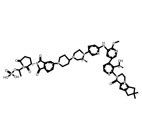 COc1ncc(-c2ccnc(N3CCn4c(cc5c4CC(C)(C)C5)C3=O)c2[C@H](C)O)cc1Nc1ccc(N2CCN(C3CCN(c4ccc5c(c4)C(=O)N([C@H]4CCC(=O)N(C(C)OP(=O)(O)O)C4=O)C5=O)CC3)C[C@@H]2C)cn1